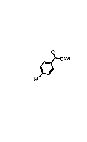 COC([O])c1ccc(C#N)cc1